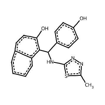 Cc1nnc(NC(c2ccc(O)cc2)c2c(O)ccc3ccccc23)s1